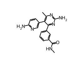 CNC(=O)c1cccc(-c2nc(N)nc(C)c2-c2ccc(N)nc2)c1